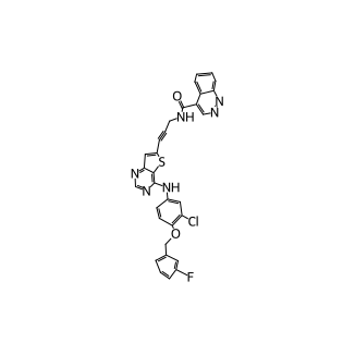 O=C(NCC#Cc1cc2ncnc(Nc3ccc(OCc4cccc(F)c4)c(Cl)c3)c2s1)c1cnnc2ccccc12